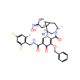 CCC/C(C[C@@]12CC1C[C@H](C)N1C[C@H]2n2cc(C(=O)NCc3c(F)cc(F)cc3F)c(=O)c(OCc3ccccc3)c2C1=O)=N/O